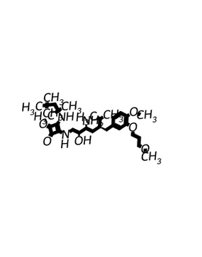 COCCCOc1cc(C[C@@H](C[C@H](N)[C@@H](O)CNc2c(NC(C)(C)CC(C)(C)C)c(=O)c2=O)C(C)C)ccc1OC